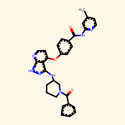 Cc1ccnc(NC(=O)c2ccc(Oc3ccnc4[nH]nc(NC5CCCN(C(=O)c6ccccc6)C5)c34)cc2)c1